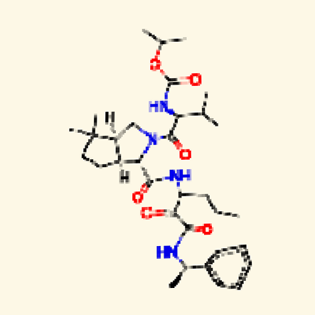 CCCC(NC(=O)[C@@H]1[C@H]2CCC(C)(C)[C@H]2CN1C(=O)[C@@H](NC(=O)OC(C)C)C(C)C)C(=O)C(=O)N[C@H](C)c1ccccc1